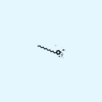 CCCCCCCCCCCCc1ccc(OC(C)=O)c(S(=O)(=O)O)c1.[NaH]